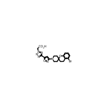 O=C(O)Cn1nnc(-c2cc(N3CCC4(CCc5c(Br)cccc5O4)CC3)no2)n1